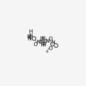 O=C(c1ccc2[nH]nnc2c1)N1C[C@@H]2[C@H](C1)[C@H]1CN(C(=O)c3cc(OCC4CC4)c4ccccc4n3)C[C@@H]21